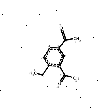 CCc1ccc(C(C)=O)cc1C(=O)O